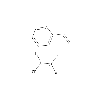 C=Cc1ccccc1.FC(F)=C(F)Cl